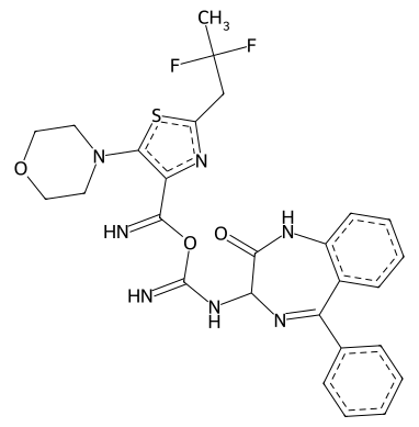 CC(F)(F)Cc1nc(C(=N)OC(=N)NC2N=C(c3ccccc3)c3ccccc3NC2=O)c(N2CCOCC2)s1